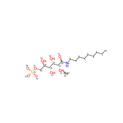 CCCCCCCCCNC(=O)[C@H](O)[C@@H](O)[C@H](O)[C@H](O)COS(=O)(=O)[O-].[Na+]